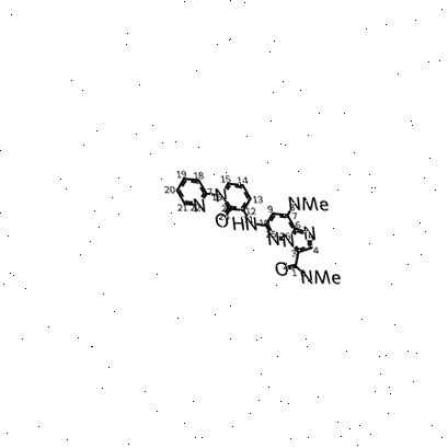 CNC(=O)c1cnc2c(NC)cc(Nc3cccn(-c4ccccn4)c3=O)nn12